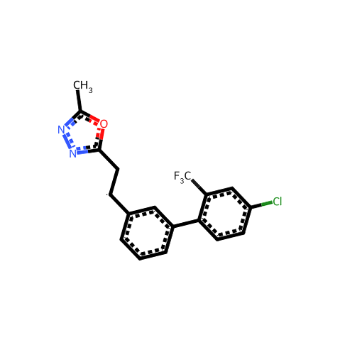 Cc1nnc(C[CH]c2cccc(-c3ccc(Cl)cc3C(F)(F)F)c2)o1